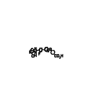 O=C(O)C1CCC(Oc2ccc(-c3ccc(-c4nc5ccnc(Cl)c5[nH]4)c(F)c3)cn2)CC1